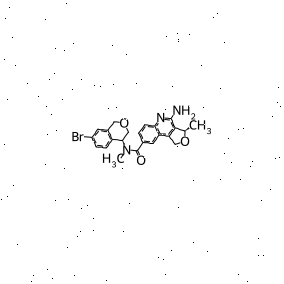 C[C@H]1OCc2c1c(N)nc1ccc(C(=O)N(C)[C@@H]3COCc4cc(Br)ccc43)cc21